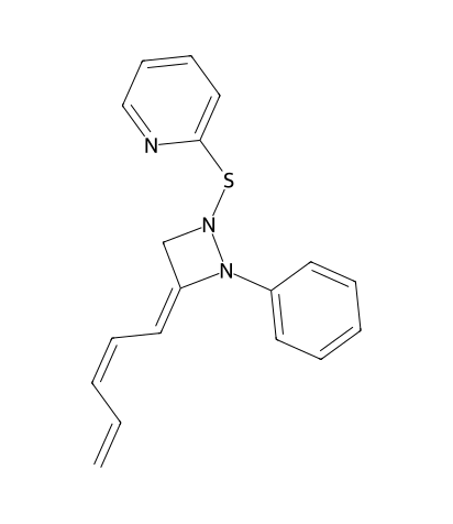 C=C/C=C\C=C1/CN(Sc2ccccn2)N1c1ccccc1